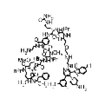 CCCN(CC[C@@H](C)C(=O)N[C@H](C)[C@@H](O)c1ccccc1)C(=O)C[C@@H](OC)[C@H]([C@@H](C)CC)N(C)C(=O)[C@@H](NC(=O)[C@H](C(C)C)N(C)C(=O)OCc1ccc(NC(=O)[C@H](CCCNC(N)=O)NC(=O)[C@@H](NC(=O)CCOCCNCCNc2ncc(-c3cc(C)cc(F)c3)c(N3CCC(N)CC3)c2-c2nc3ccc(Cl)cc3[nH]2)C(C)C)cc1C(=O)NCCN)C(C)C